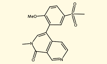 COc1ccc(S(C)(=O)=O)cc1-c1cn(C)c(=O)c2cnccc12